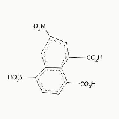 O=C(O)c1ccc(S(=O)(=O)O)c2cc([N+](=O)[O-])cc(C(=O)O)c12